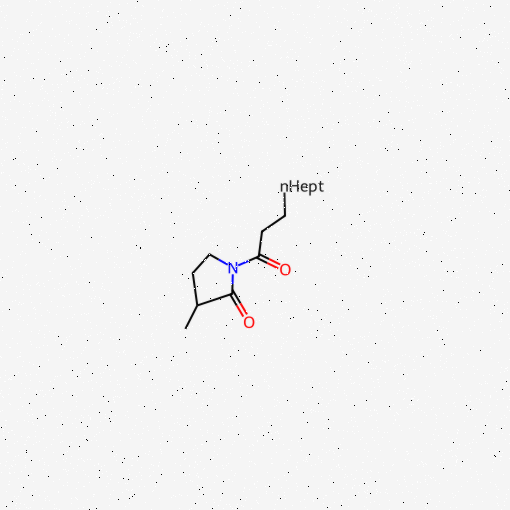 CCCCCCCCCC(=O)N1CCC(C)C1=O